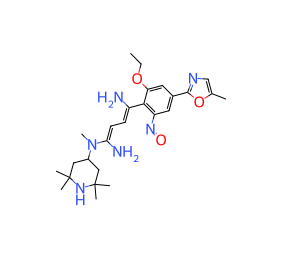 CCOc1cc(-c2ncc(C)o2)cc(N=O)c1/C(N)=C/C=C(\N)N(C)C1CC(C)(C)NC(C)(C)C1